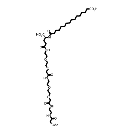 CSCC(=O)NCCNC(=O)COCCOCCNC(=O)COCCOCCNC(=O)CC[C@H](NC(=O)CCCCCCCCCCCCCCC(=O)O)C(=O)O